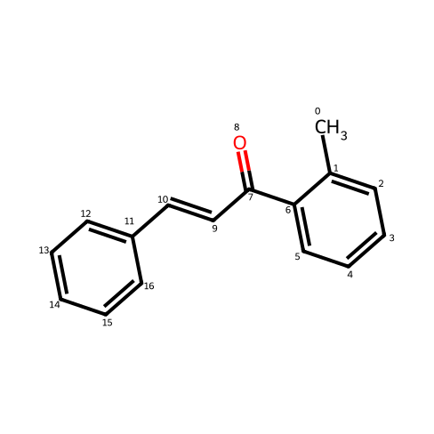 Cc1ccccc1C(=O)/C=C/c1ccccc1